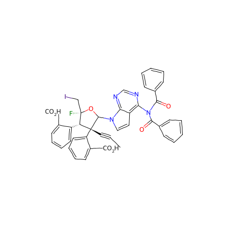 CC#C[C@]1(c2ccccc2C(=O)O)C(n2ccc3c(N(C(=O)c4ccccc4)C(=O)c4ccccc4)ncnc32)O[C@](F)(CI)[C@H]1c1ccccc1C(=O)O